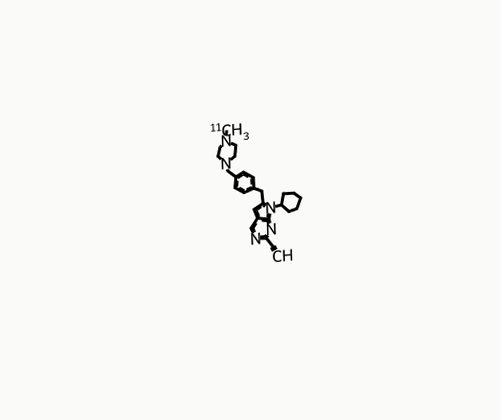 C#Cc1ncc2cc(Cc3ccc(CN4CCN([11CH3])CC4)cc3)n(C3CCCCC3)c2n1